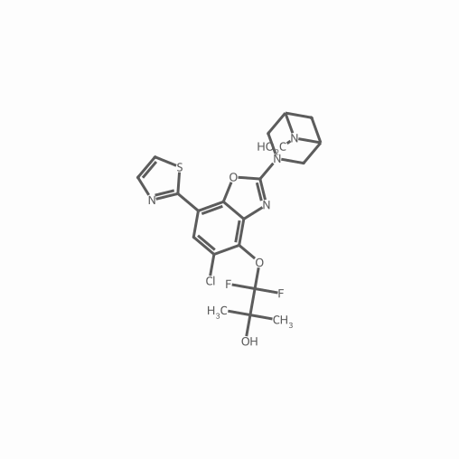 CC(C)(O)C(F)(F)Oc1c(Cl)cc(-c2nccs2)c2oc(N3CC4CC(C3)N4C(=O)O)nc12